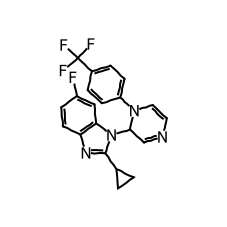 Fc1ccc2nc(C3CC3)n(C3C=NC=CN3c3ccc(C(F)(F)F)cc3)c2c1